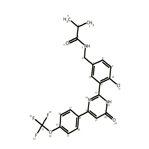 CC(C)C(=O)NCc1ccc(Cl)c(-c2nc(-c3ccc(OC(F)(F)F)cc3)cc(=O)[nH]2)c1